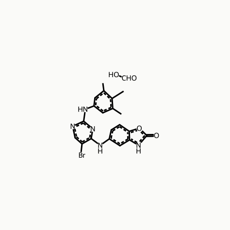 Cc1cc(Nc2ncc(Br)c(Nc3ccc4oc(=O)[nH]c4c3)n2)cc(C)c1C.O=CO